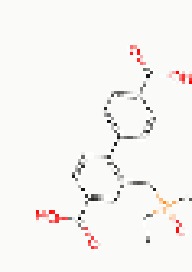 CCP(=O)(CC)Cc1cc(C(=O)O)ccc1-c1ccc(C(=O)O)cc1